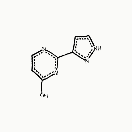 Oc1ccnc(-c2cc[nH]n2)n1